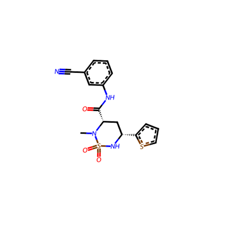 CN1[C@H](C(=O)Nc2cccc(C#N)c2)C[C@H](c2cccs2)NS1(=O)=O